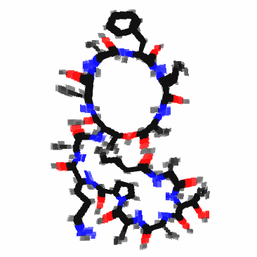 C/C=C1\NC(=O)[C@H](Cc2ccccc2)NC(=O)[C@@H](C(C)C)NC(=O)[C@@H](C(C)CC)NC(=O)[C@H](NC(=O)[C@H](NC(=O)[C@H](CCCN)NC(=O)[C@H]2CCCN2C(=O)[C@@H](NC(=O)[C@H](NC(=O)[C@@H](NC(=O)[C@H](NC(=O)CCCC(C)C)C(C)C)C(C)O)C(C)C)C(C)C)C(C)CC)C(C)OC(=O)[C@H](C(C)C)NC1=O